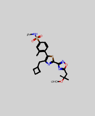 Cc1cc(S(=O)(=O)NC(C)C)ccc1-c1sc(-c2noc(CC(C)(C)OC=O)n2)nc1CC1CCC1